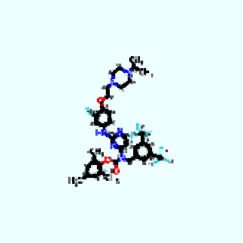 Cc1cc(C)c(OC(=O)N(Cc2cc(C(F)(F)F)cc(C(F)(F)F)c2)c2ccnc(Nc3ccc(OCCN4CCN(C(C)C)CC4)c(F)c3)n2)c(C)c1